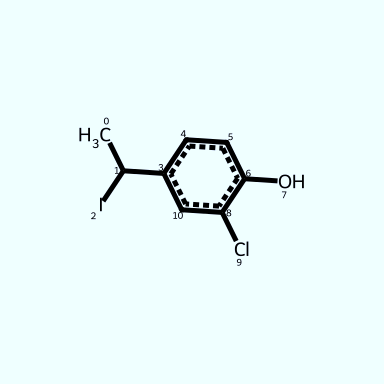 CC(I)c1ccc(O)c(Cl)c1